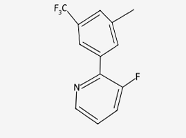 Cc1cc(-c2ncccc2F)cc(C(F)(F)F)c1